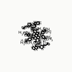 CC(C)(C)c1ccc(Oc2cc3c4c(cc(Oc5ccc(C(C)(C)C)cc5)c5c6c(Oc7ccc(C(C)(C)C)cc7)cc7c8c(cc(Oc9ccc(C(C)(C)C)cc9)c(c2c45)c86)C(=O)N(C(Cc2cccc4ccccc24)C(=O)NC2CCCC(NCC4CO4)C2)C7=O)C(=O)N(C(Cc2cccc4ccccc24)C(=O)NC2CCCC(NCC4CO4)C2)C3=O)cc1